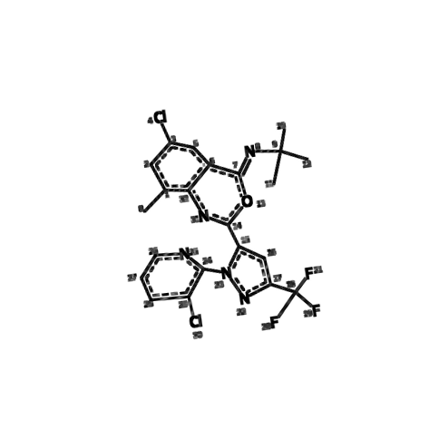 Cc1cc(Cl)cc2c(=NC(C)(C)C)oc(-c3cc(C(F)(F)F)nn3-c3ncccc3Cl)nc12